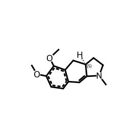 COc1ccc2c(c1OC)C[C@H]1CCN(C)C1=C2